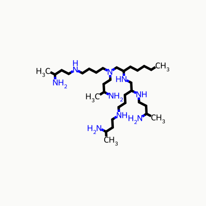 CCCCCC(CN(CCCCNCCC(C)N)CCC(C)N)NCC(CCCNCCC(C)N)NCCC(C)N